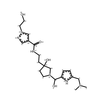 CN(C)Cc1ccc(C(O)N2CCC(O)(CCNC(=O)c3cnn(CCO)c3)C2)[nH]1